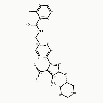 Cc1ccccc1C(=O)NCc1ccc(-c2nn(C[C@H]3CCCNC3)c(N)c2C(N)=O)cc1